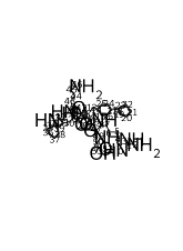 N=C(N)NCCCC[C@H](NC(=O)[C@H](Cc1ccc(-c2ccccc2)cc1)NC(=O)[C@H](Cc1c[nH]c2ccccc12)NC(=O)CCCN)C(=O)NCC(=O)O